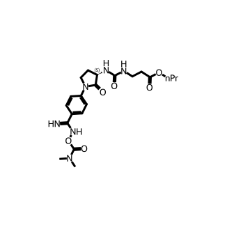 CCCOC(=O)CCNC(=O)N[C@H]1CCN(c2ccc(C(=N)NOC(=O)N(C)C)cc2)C1=O